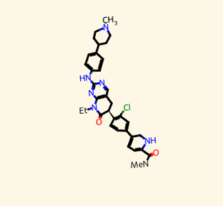 CCN1C(=O)[C@H](c2ccc(C3=CC=C(C(=O)NC)NC3)cc2Cl)Cc2cnc(Nc3ccc(C4CCN(C)CC4)cc3)nc21